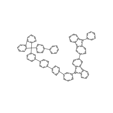 c1ccc(-c2ccc(C3(c4cccc(-c5ccc(-c6ccc(-c7cccc(-n8c9ccccc9c9cc(-c%10ccc%11c(c%10)c%10ccccc%10n%11-c%10ccccc%10)ccc98)c7)cc6)cc5)c4)c4ccccc4-c4ccccc43)cc2)cc1